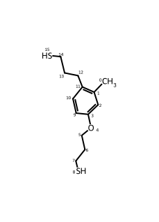 Cc1cc(OCCCS)ccc1CCCS